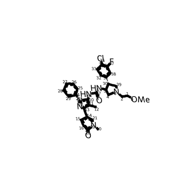 COCCN1CC(NC(=O)Nc2c(C)c(-c3ccc(=O)n(C)c3)nn2-c2ccccc2)[C@H](c2ccc(Cl)c(F)c2)C1